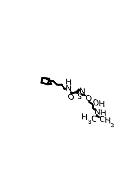 CC(C)NCC(O)COc1ncc(C(=O)NCCCCC2C3CCC2CC3)s1